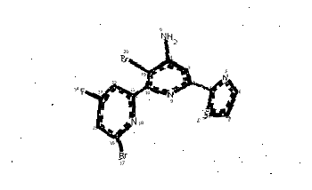 Nc1cc(-c2nccs2)nc(-c2cc(F)cc(Br)n2)c1Br